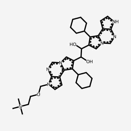 C[Si](C)(C)CCOCn1ccc2c1ncn1cc(C(O)C(O)c3cn4cnc5[nH]ccc5c4c3C3CCCCC3)c(C3CCCCC3)c21